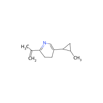 C=C(C)C1=NC=C(C2CC2C)CC1